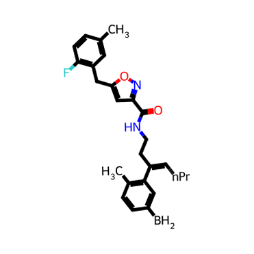 Bc1ccc(C)c(/C(=C\CCC)CCNC(=O)c2cc(Cc3cc(C)ccc3F)on2)c1